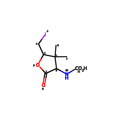 CC1(C)C(CI)OC(=O)C1NC(=O)O